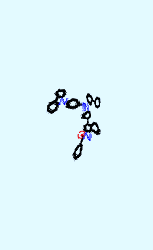 c1ccc(-c2cccc(N(c3ccc(-c4cc5oc(-c6ccccc6)nc5c5ccccc45)cc3)c3ccc(-n4c5ccccc5c5ccccc54)cc3)c2)cc1